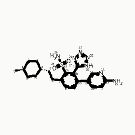 C[C@H]1CC[C@H](CCc2ccc(-c3ccc(N)nc3)c(-c3nnn[nH]3)c2S(N)(=O)=O)CC1